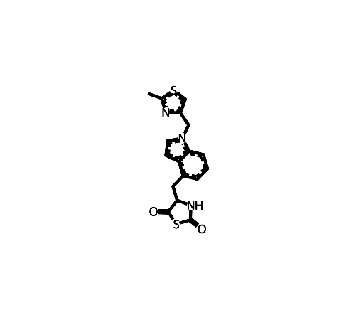 Cc1nc(Cn2ccc3c(CC4NC(=O)SC4=O)cccc32)cs1